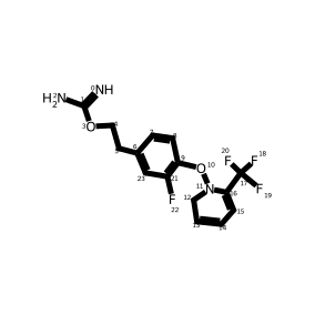 N=C(N)OCCc1ccc(ON2CC=CC=C2C(F)(F)F)c(F)c1